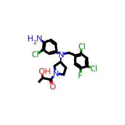 CC(O)C(=O)N1CC[C@H](N(Cc2cc(F)c(Cl)cc2Cl)c2ccc(N)c(Cl)c2)C1